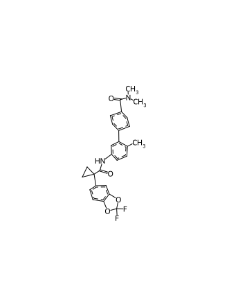 Cc1ccc(NC(=O)C2(c3ccc4c(c3)OC(F)(F)O4)CC2)cc1-c1ccc(C(=O)N(C)C)cc1